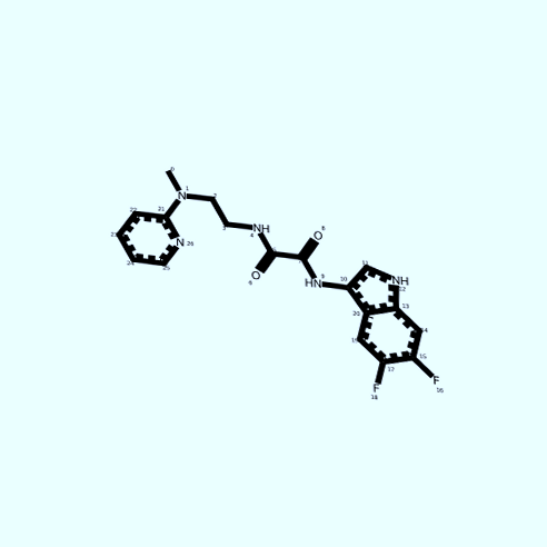 CN(CCNC(=O)C(=O)Nc1c[nH]c2cc(F)c(F)cc12)c1ccccn1